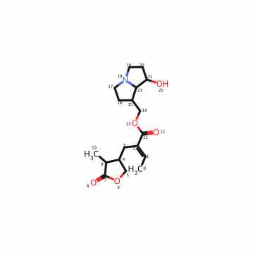 C/C=C(\CC1COC(=O)C1C)C(=O)OCC1CCN2CCC(O)C12